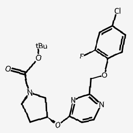 CC(C)(C)OC(=O)N1CC[C@H](Oc2ccnc(COc3ccc(Cl)cc3F)n2)C1